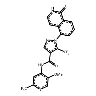 COc1cnc(C(F)(F)F)cc1NC(=O)c1cnn(-c2cccc3c(=O)[nH]ccc23)c1C(F)(F)F